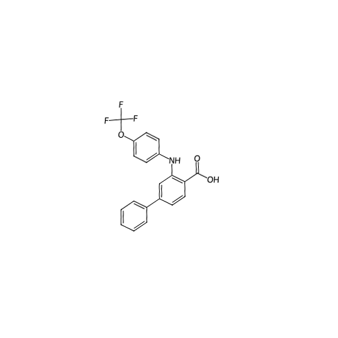 O=C(O)c1ccc(-c2ccccc2)cc1Nc1ccc(OC(F)(F)F)cc1